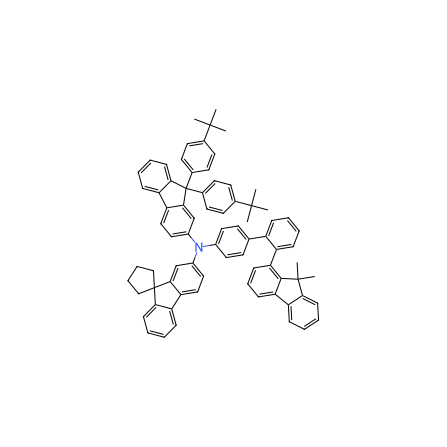 CC(C)(C)c1ccc(C2(c3ccc(C(C)(C)C)cc3)c3ccccc3-c3ccc(N(c4ccc(-c5ccccc5-c5cccc6c5C(C)(C)c5ccccc5-6)cc4)c4ccc5c(c4)C4(CCCC4)c4ccccc4-5)cc32)cc1